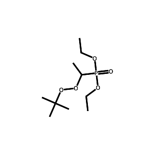 CCOP(=O)(OCC)C(C)OOC(C)(C)C